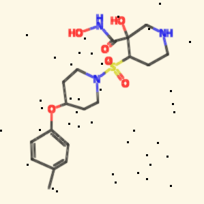 Cc1ccc(OC2CCN(S(=O)(=O)C3CCNCC3(O)C(=O)NO)CC2)cc1